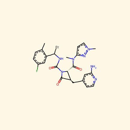 CCC(NC(=O)N1C(=O)[C@H](Cc2ccnc(N)c2)[C@H]1C(=O)N(C)c1ccn(C)n1)c1cc(F)ccc1C